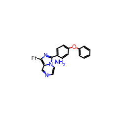 CCC1=C2C=NC=C[N+]2(N)C(c2ccc(Oc3ccccc3)cc2)=N1